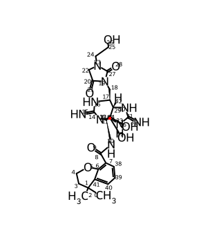 CC1(C)CCOc2c(C(=O)N[C@H]3CN4C(=N)N[C@@H](CN5C(=O)CN(CCO)C5=O)[C@@H]5NC(=N)N[C@@]54C3(O)O)cccc21